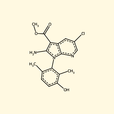 COC(=O)c1c(N)n(-c2c(C)ccc(O)c2C)c2ncc(Cl)cc12